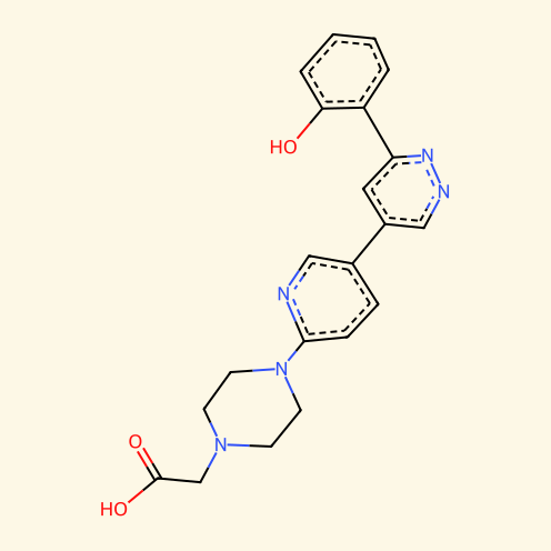 O=C(O)CN1CCN(c2ccc(-c3cnnc(-c4ccccc4O)c3)cn2)CC1